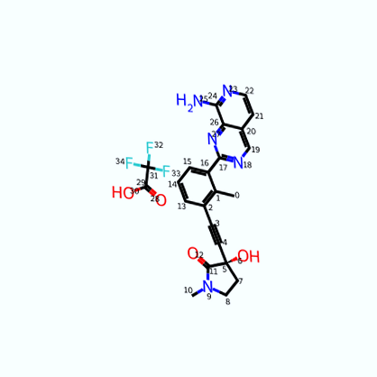 Cc1c(C#C[C@]2(O)CCN(C)C2=O)cccc1-c1ncc2ccnc(N)c2n1.O=C(O)C(F)(F)F